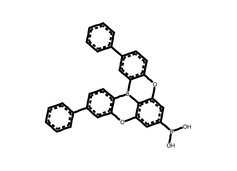 OB(O)c1cc2c3c(c1)Oc1ccc(-c4ccccc4)cc1B3c1ccc(-c3ccccc3)cc1O2